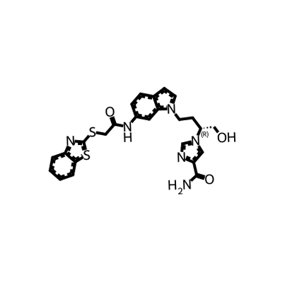 NC(=O)c1cn([C@@H](CO)CCn2ccc3ccc(NC(=O)CSc4nc5ccccc5s4)cc32)cn1